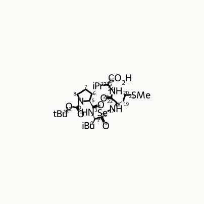 CC[C@H](C)[C@H](NC(=O)[C@@H]1CCCN1C(=O)OC(C)(C)C)C(=O)[Se]N[C@@H](CCSC)C(=O)N[C@H](C(=O)O)C(C)C